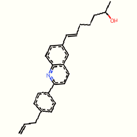 C=CCc1ccc(-c2ccc3cc(C=CCCCC(C)O)ccc3n2)cc1